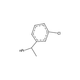 CCCC(C)c1cccc(Cl)c1